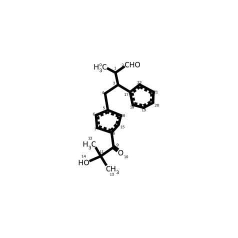 CC(C=O)C(Cc1ccc(C(=O)C(C)(C)O)cc1)c1ccccc1